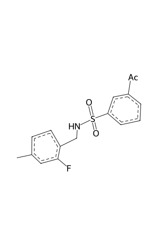 CC(=O)c1cccc(S(=O)(=O)NCc2ccc(C)cc2F)c1